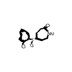 O=C1CCC([S+]([O-])c2ccccc2Cl)CCN1